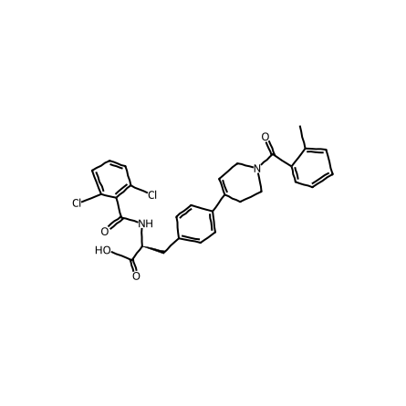 Cc1ccccc1C(=O)N1CC=C(c2ccc(C[C@H](NC(=O)c3c(Cl)cccc3Cl)C(=O)O)cc2)CC1